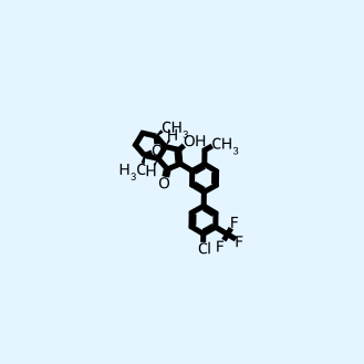 CCc1ccc(-c2ccc(Cl)c(C(F)(F)F)c2)cc1C1=C(O)[C@H]2[C@@H](C1=O)[C@]1(C)CC[C@@]2(C)O1